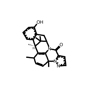 CC1C=CC2(C)C3=C1[C@@]1(C)c4cccc(O)c4CC(N3C(=O)c3ccnn32)C1(C)C